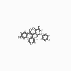 CC(C)C(=O)C(C(=O)Nc1ccccc1)C(C(=O)c1ccc(F)cc1)c1ccncc1